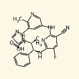 Cc1ncc(Nc2nc(N[C@@H](c3ccccc3)[C@H](C)NC(=O)O)c(F)cc2C#N)cc1-n1nccn1